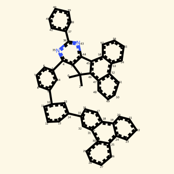 CC1(C)c2c(-c3cccc(-c4cccc(-c5ccc6c7ccccc7c7ccccc7c6c5)c4)c3)nc(-c3ccccc3)nc2-c2c1c1ccccc1c1ccccc21